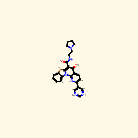 O=C(NCCN1CCCC1)c1c(=O)c2ccc(-c3cncnc3)nc2n2c1sc1ccccc12